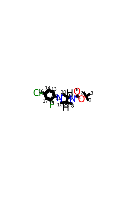 CC(C)(C)OC(=O)N1C[C@@H]2CN(c3ccc(Cl)cc3F)C[C@@H]21